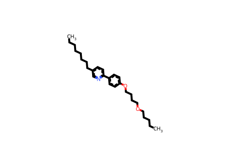 CCCCCCCCc1ccc(-c2ccc(OCCCCOCCCCC)cc2)nc1